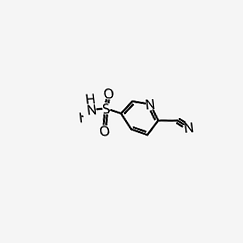 N#Cc1ccc(S(=O)(=O)NI)cn1